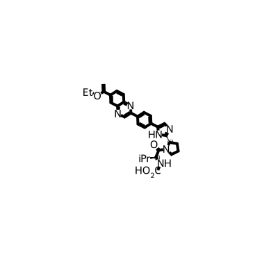 C=C(OCC)c1ccc2nc(-c3ccc(-c4cnc([C@@H]5CCCN5C(=O)[C@@H](NC(=O)O)C(C)C)[nH]4)cc3)cnc2c1